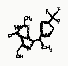 Cc1nn2c([C@H](C)c3ccc(C(F)(F)F)cc3)nc(CO)c2c(=O)[nH]1